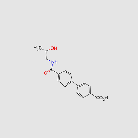 C[C@H](O)CNC(=O)c1ccc(-c2ccc(C(=O)O)cc2)cc1